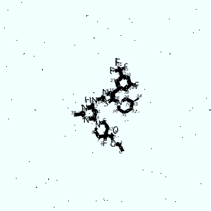 CCOC(=O)C1(F)CCN(c2cc(Nc3nc(-c4cc(F)cc(C(F)(F)F)c4)c(N4CCC[C@H](C)C4)s3)nc(C)n2)CC1